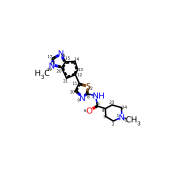 CN1CCC(C(=O)Nc2ncc(-c3ccc4ncn(C)c4c3)s2)CC1